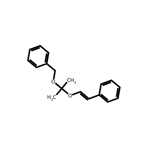 CC(C)(OC=Cc1ccccc1)OCc1ccccc1